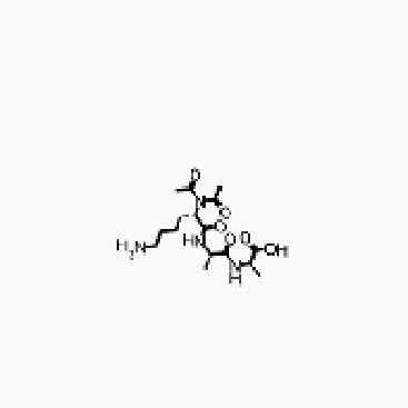 CC(=O)N(C(C)=O)[C@@H](CCCCN)C(=O)N[C@H](C)C(=O)N[C@H](C)C(=O)O